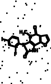 Cn1c(=O)c2ccoc2c2[nH]c(=O)n(-c3ccc(I)cc3F)c21